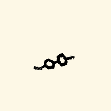 CSc1ccc(-c2ccc(C(C)C)cc2)cc1